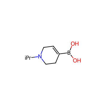 CC(C)N1CC=C(B(O)O)CC1